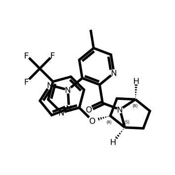 Cc1cnc(C(=O)N2[C@@H]3CC[C@H]2[C@H](Oc2ccc(C(F)(F)F)cn2)C3)c(-n2nccn2)c1